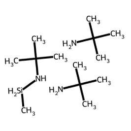 CC(C)(C)N.CC(C)(C)N.C[SiH2]NC(C)(C)C